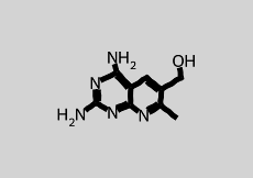 Cc1nc2nc(N)nc(N)c2cc1CO